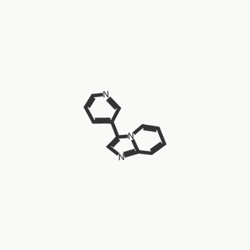 c1cncc(-c2cnc3ccccn23)c1